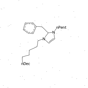 CCCCCCCCCCCCCCCN1C=CN(CCCCC)C1Cc1ccccc1